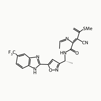 C=C(SC)/C(C#N)=C(\N=C/C)C(=O)N[C@H](C)c1cc(-c2nc3cc(C(F)(F)F)ccc3[nH]2)on1